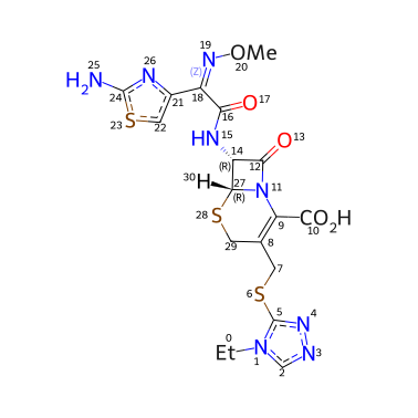 CCn1cnnc1SCC1=C(C(=O)O)N2C(=O)[C@@H](NC(=O)/C(=N\OC)c3csc(N)n3)[C@H]2SC1